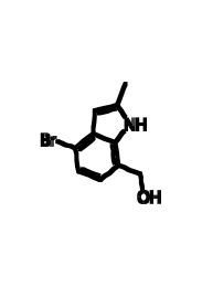 Cc1cc2c(Br)ccc(CO)c2[nH]1